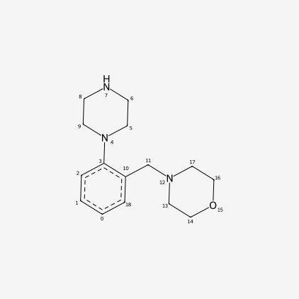 c1ccc(N2CCNCC2)c(CN2CCOCC2)c1